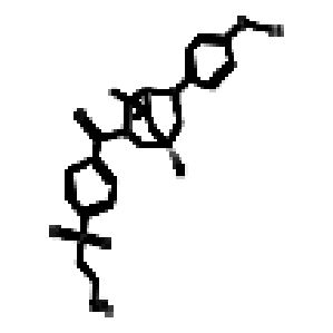 CCOc1ccc(N2C[C@H]3CN(C(=O)c4ccc(S(=O)(=O)CCN)cc4)CC2C(C)(C)C3)cc1